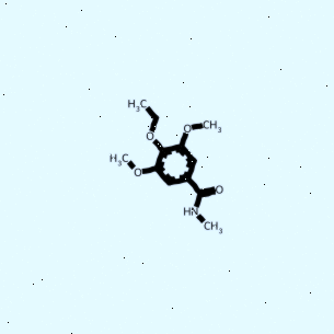 CCOc1c(OC)cc(C(=O)NC)cc1OC